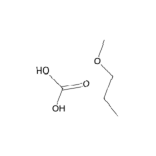 CCCOC.O=C(O)O